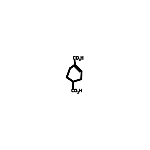 O=C(O)C1=CCC(C(=O)O)CC1